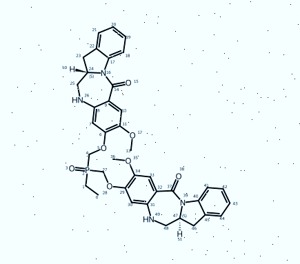 CCP(=O)(COc1cc2c(cc1OC)C(=O)N1c3ccccc3C[C@H]1CN2)COc1cc2c(cc1OC)C(=O)N1c3ccccc3C[C@H]1CN2